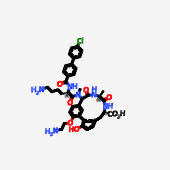 C[C@@H]1NC(=O)C(N(C)C(=O)[C@H](CCCCN)NC(=O)c2ccc(-c3ccc(Cl)cc3)cc2)c2ccc(OCCN)c(c2)-c2cc(ccc2O)C[C@@H](C(=O)O)NC1=O